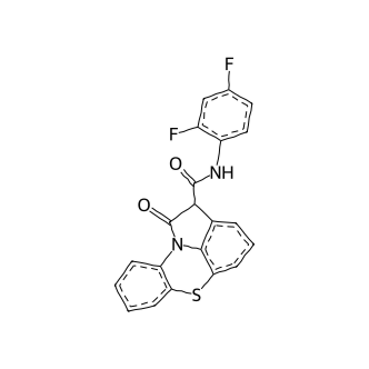 O=C(Nc1ccc(F)cc1F)C1C(=O)N2c3ccccc3Sc3cccc1c32